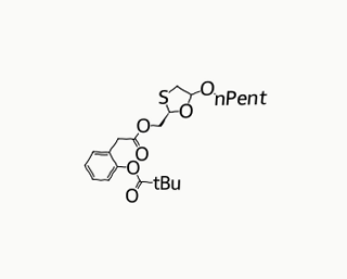 CCCCCOC1CS[C@H](COC(=O)Cc2ccccc2OC(=O)C(C)(C)C)O1